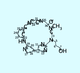 CN1CCN(CCCO)c2ncc(cn2)-c2ccnc(c2)Nc2cccc(c2)CN2CCN(CC2)CC1=O